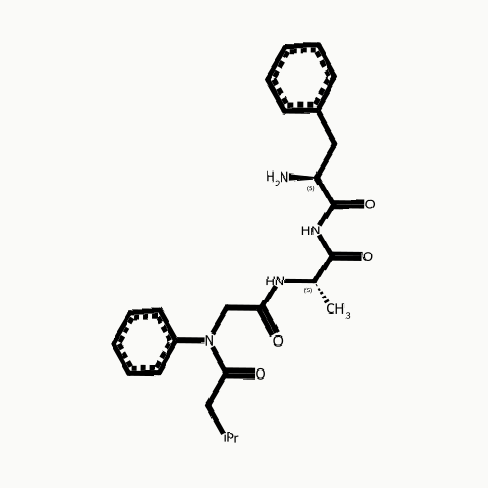 CC(C)CC(=O)N(CC(=O)N[C@@H](C)C(=O)NC(=O)[C@@H](N)Cc1ccccc1)c1ccccc1